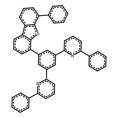 c1ccc(-c2cccc(-c3cc(-c4cccc(-c5ccccc5)n4)cc(-c4cccc5c4sc4c(-c6ccccc6)cccc45)c3)n2)cc1